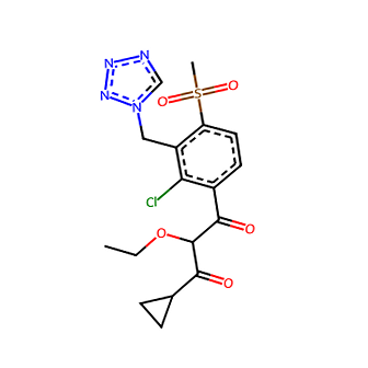 CCOC(C(=O)c1ccc(S(C)(=O)=O)c(Cn2cnnn2)c1Cl)C(=O)C1CC1